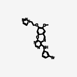 COc1cc2c(cc1OCCn1ccnn1)Oc1ncnc(Nc3cccc(Br)c3)c1N=C2